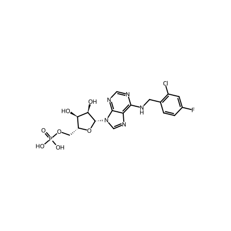 O=P(O)(O)OC[C@H]1O[C@@H](n2cnc3c(NCc4ccc(F)cc4Cl)ncnc32)[C@H](O)[C@@H]1O